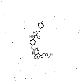 CNc1nc(Cc2ccc(NC(=O)NCc3ccccc3)cc2)ncc1CC(=O)O